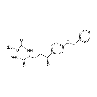 COC(=O)C(CCC(=O)c1ccc(OCc2ccccc2)cc1)NC(=O)OC(C)(C)C